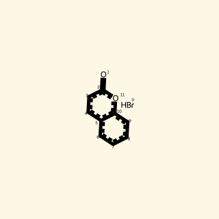 Br.O=c1ccc2ccccc2o1